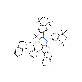 Cc1ccc2c(c1-c1cccc(-c3c4c(cc5c3-c3ccccc3C5)N(c3ccc5c(c3)C(C)(C)CCC5(C)C)C3=C(B4)C(C)(C)c4cc5c(cc43)C(C)(C)CCC5(C)C)c1C)CCC=C2